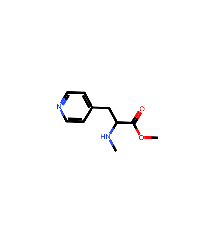 CNC(Cc1ccncc1)C(=O)OC